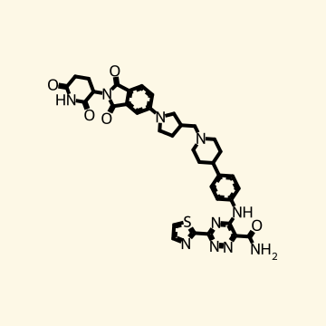 NC(=O)c1nnc(-c2nccs2)nc1Nc1ccc(C2CCN(CC3CCN(c4ccc5c(c4)C(=O)N(C4CCC(=O)NC4=O)C5=O)C3)CC2)cc1